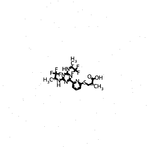 C[C@H](CSc1cccc(-c2nc(N[C@H](C)C(F)(F)F)nc(N[C@H](C)C(F)(F)F)n2)n1)C(=O)O